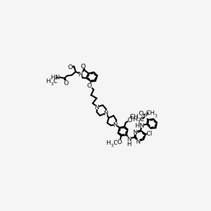 CNC(=O)CCC(C=O)N1Cc2c(OCCCCN3CCN(C4CCN(c5cc(OC)c(Nc6ncc(Cl)c(Nc7ccccc7P(C)(C)=O)n6)cc5COC)CC4)CC3)cccc2C1=O